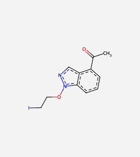 CC(=O)c1cccc2c1cnn2OCCI